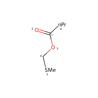 CCCC(=O)OCSC